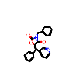 O=C1O/C(=C(\c2ccccc2)c2cccnc2)C(=O)N1Cc1ccccc1